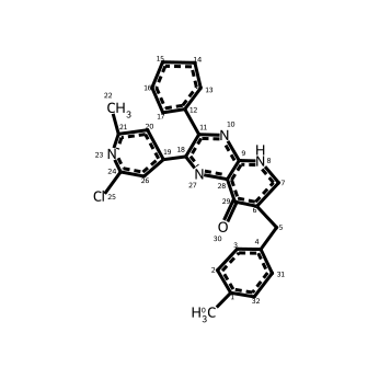 Cc1ccc(Cc2c[nH]c3nc(-c4ccccc4)c(-c4cc(C)nc(Cl)c4)nc3c2=O)cc1